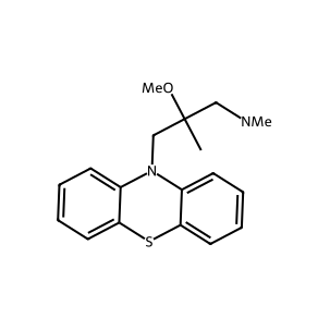 CNCC(C)(CN1c2ccccc2Sc2ccccc21)OC